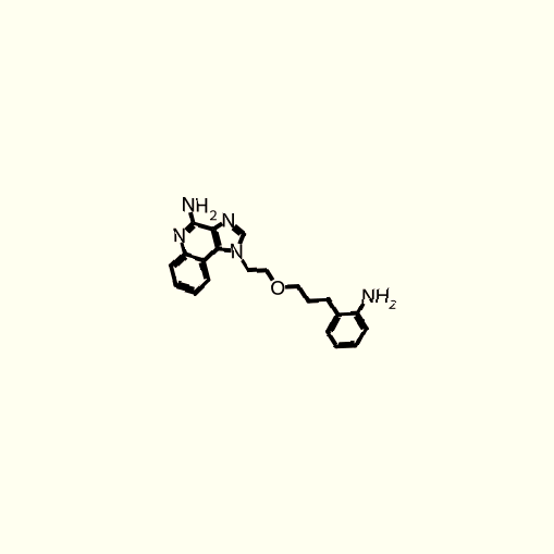 Nc1ccccc1CCCOCCn1cnc2c(N)nc3ccccc3c21